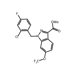 COC(=O)c1nn(Cc2ccc(F)cc2Cl)c2cc(OC(F)(F)F)ccc12